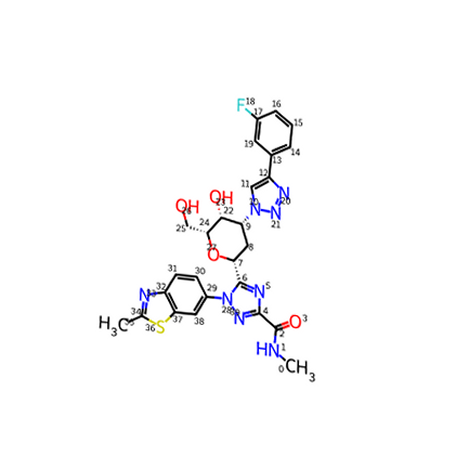 CNC(=O)c1nc([C@H]2C[C@@H](n3cc(-c4cccc(F)c4)nn3)[C@@H](O)[C@@H](CO)O2)n(-c2ccc3nc(C)sc3c2)n1